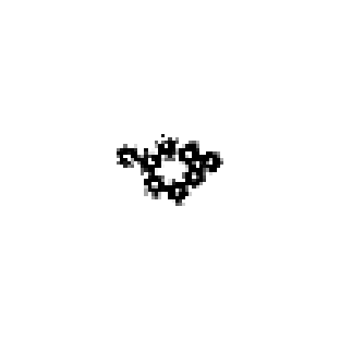 c1ccc(-c2cc(-c3cccc(-c4cccc(-c5ccc6c7ccccc7c7ccccc7c6c5)c4)c3)cc(-c3cccnc3)n2)nc1